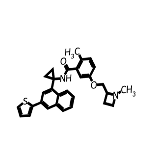 Cc1ccc(OCC2CCN2C)cc1C(=O)NC1(c2cc(-c3cccs3)cc3ccccc23)CC1